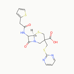 O=C(Cc1cccs1)NC1C(=O)N2CC(CSc3ncccn3)(C(=O)O)CS[C@H]12